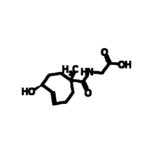 C[C@@]1(C(=O)NCC(=O)O)CC/C=C/[C@H](O)CC1